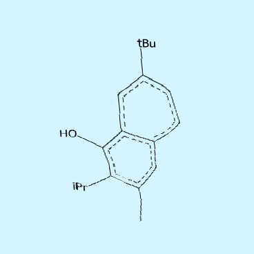 Cc1cc2ccc(C(C)(C)C)cc2c(O)c1C(C)C